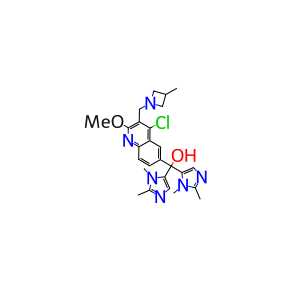 COc1nc2ccc(C(O)(c3cnc(C)n3C)c3cnc(C)n3C)cc2c(Cl)c1CN1CC(C)C1